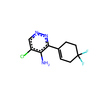 Nc1c(Cl)cnnc1C1=CCC(F)(F)CC1